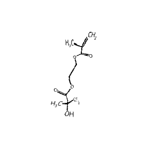 C=C(C)C(=O)OCCOC(=O)C(C)(O)C(F)(F)F